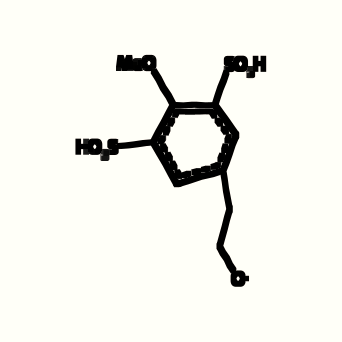 COc1c(S(=O)(=O)O)cc(CC[O])cc1S(=O)(=O)O